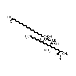 CC(O)COS(=O)(=O)O.CCCCCCCCCCCCCCCCC(CC)C(=O)O.CCCCCCCCCCCCCCCCCC(=O)O.N